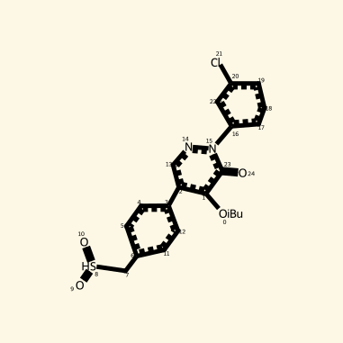 CC(C)COc1c(-c2ccc(C[SH](=O)=O)cc2)cnn(-c2cccc(Cl)c2)c1=O